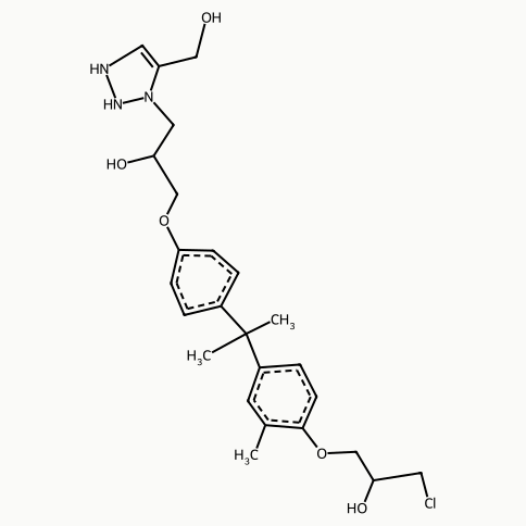 Cc1cc(C(C)(C)c2ccc(OCC(O)CN3NNC=C3CO)cc2)ccc1OCC(O)CCl